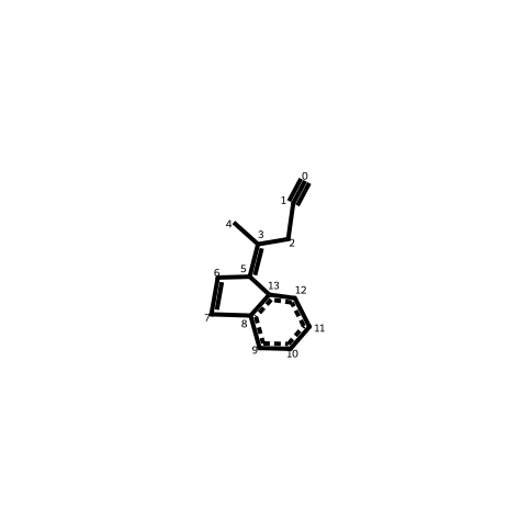 C#CCC(C)=C1C=Cc2ccccc21